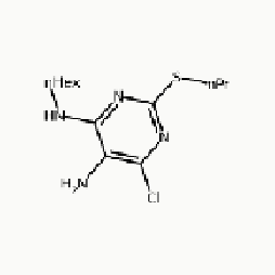 CCCCCCNc1nc(SCCC)nc(Cl)c1N